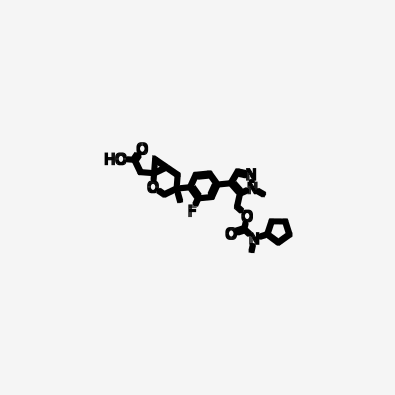 CN(C(=O)OCc1c(-c2ccc(C3(C)COC4(CC(=O)O)CC4C3)c(F)c2)cnn1C)C1CCCC1